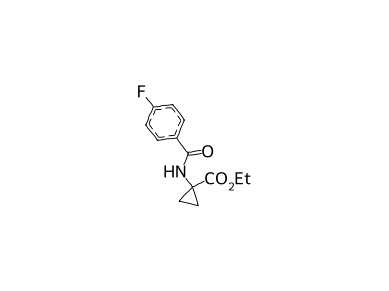 CCOC(=O)C1(NC(=O)c2ccc(F)cc2)CC1